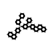 c1ccc(-c2cccc(N(c3ccc(-c4cccc5ccccc45)cc3)c3ccc(-c4ccc5c(ccc6c7ccccc7ccc56)c4)c(-c4ccccc4)c3)c2)cc1